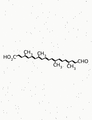 CC(/C=C/C=O)=C\C=C\C(C)=C\C=C\C=C(C)\C=C\C=C(C)\C=C\C(=O)O